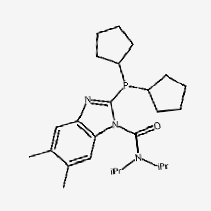 Cc1cc2nc(P(C3CCCC3)C3CCCC3)n(C(=O)N(C(C)C)C(C)C)c2cc1C